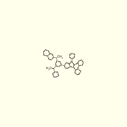 C=C(c1ccccc1)c1cc(-c2ccc3c4c5ccccc5c5ccccc5c4n(-c4ccccc4)c3c2)cc([C@@H](C)c2ccc3ccccc3c2)c1